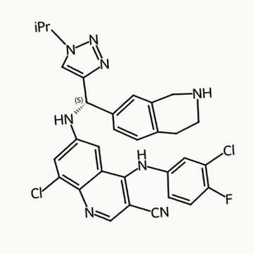 CC(C)n1cc([C@@H](Nc2cc(Cl)c3ncc(C#N)c(Nc4ccc(F)c(Cl)c4)c3c2)c2ccc3c(c2)CNCC3)nn1